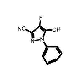 N#Cc1nn(-c2ccccc2)c(O)c1F